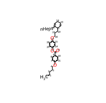 C=CCCCOc1ccc(C(=O)Oc2ccc(OCCCC3CCCCC3CCCCCCC)cc2)cc1